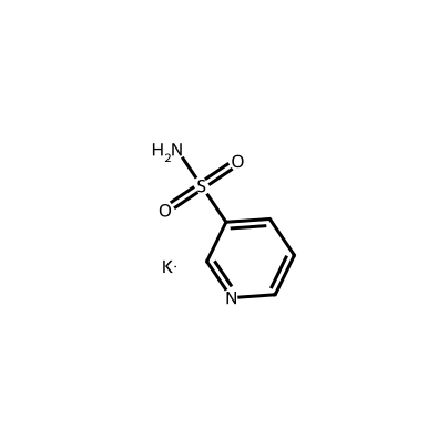 NS(=O)(=O)c1cccnc1.[K]